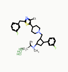 CCc1nc(Cc2cccc(F)c2)sc1C1CCN(CC2CC(N(C)[C@@H](C(=O)O)C(C)C)CC2c2cccc(F)c2)CC1.Cl.Cl.Cl